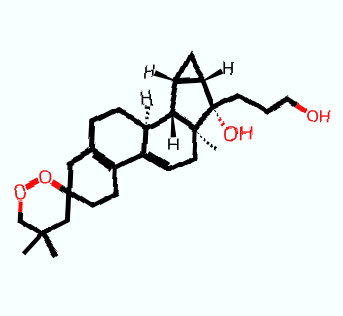 CC1(C)COOC2(CCC3=C(CC[C@@H]4C3=CC[C@@]3(C)[C@H]4[C@@H]4C[C@@H]4[C@@]3(O)CCCO)C2)C1